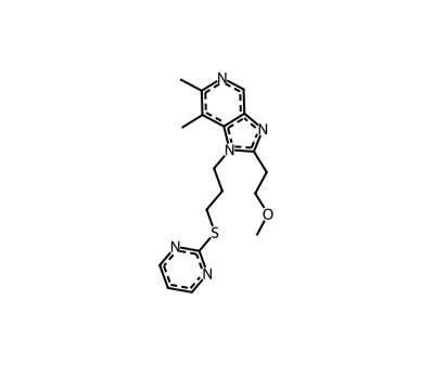 COCCc1nc2cnc(C)c(C)c2n1CCCSc1ncccn1